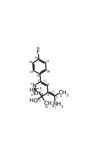 C=N/C(=C\C(=C(/C)N)C(C)(C)O)c1ccc(F)cc1